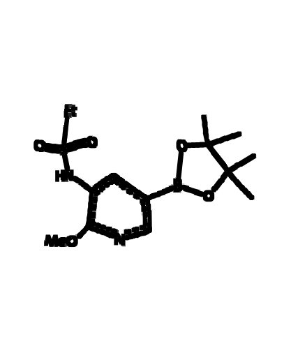 CCS(=O)(=O)Nc1cc(B2OC(C)(C)C(C)(C)O2)cnc1OC